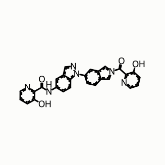 O=C(Nc1ccc2c(cnn2-c2ccc3cn(C(=O)c4ncccc4O)cc3c2)c1)c1ncccc1O